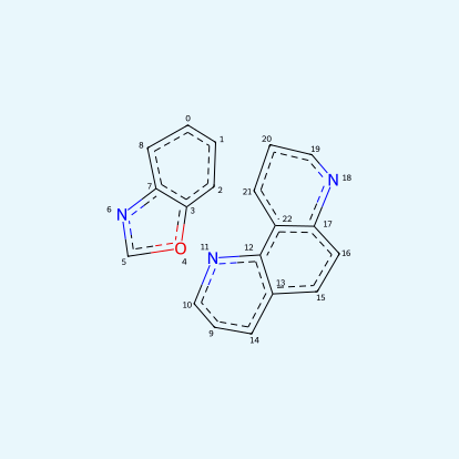 c1ccc2ocnc2c1.c1cnc2c(c1)ccc1ncccc12